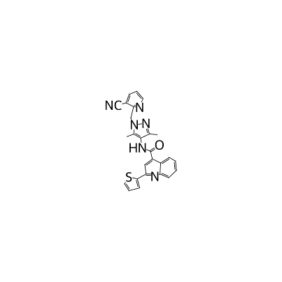 Cc1nn(Cc2ncccc2C#N)c(C)c1NC(=O)c1cc(-c2cccs2)nc2ccccc12